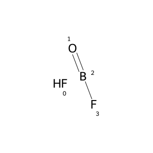 F.O=BF